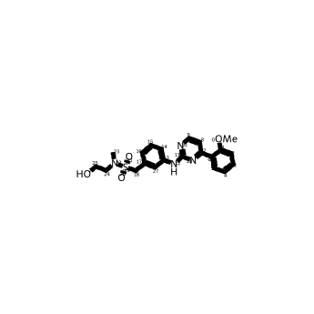 COc1ccccc1-c1ccnc(Nc2cccc(CS(=O)(=O)N(C)CCO)c2)n1